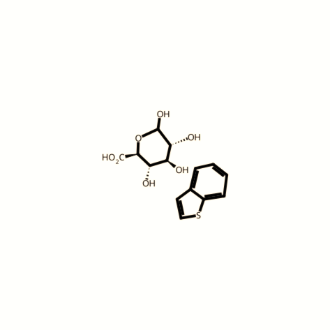 O=C(O)[C@H]1OC(O)[C@H](O)[C@@H](O)[C@@H]1O.c1ccc2sccc2c1